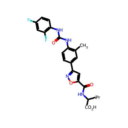 Cc1cc(-c2cc(C(=O)NC(C(=O)O)C(C)C)on2)ccc1NC(=O)Nc1ccc(F)cc1F